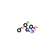 CCNc1c(C(=O)OC)cccc1-n1c(C)ccc1-c1cc(Br)ccc1OCc1ccccc1